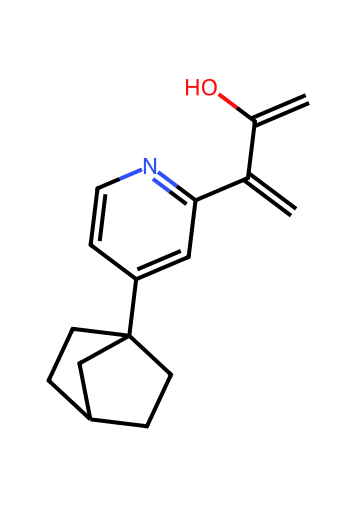 C=C(O)C(=C)c1cc(C23CCC(CC2)C3)ccn1